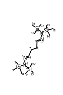 C[Si](C)(C)N(/N=C/CC/C=N/N([Si](C)(C)C)[Si](C)(C)C)[Si](C)(C)C